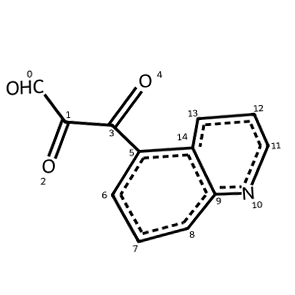 O=CC(=O)C(=O)c1cccc2ncccc12